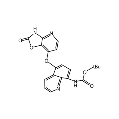 CC(C)(C)OC(=O)Nc1ccc(Oc2ccnc3[nH]c(=O)oc23)c2cccnc12